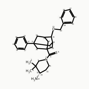 CC1(C)CN(C(=S)C23CC4CC(c5ccccc5)(CC(C2)C4OCc2ccccc2)C3)CC[C@@H]1N